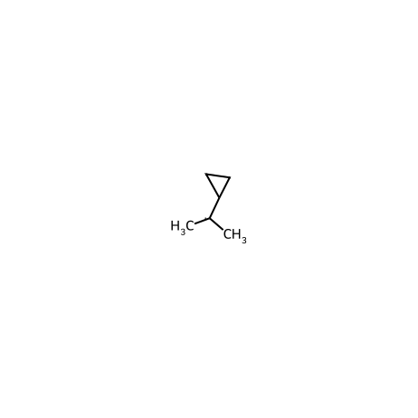 C[C](C)C1CC1